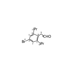 CC(C)c1cc(Br)cc(C(C)C)c1CC=O